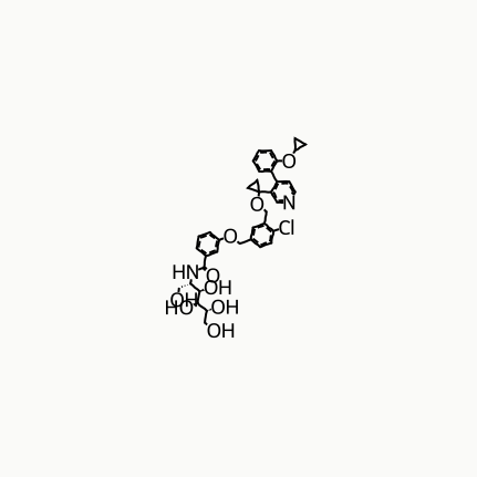 O=C(N[C@@H](CO)[C@@H](O)[C@H](O)[C@H](O)CO)c1cccc(OCc2ccc(Cl)c(COC3(c4cnccc4-c4ccccc4OC4CC4)CC3)c2)c1